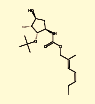 CC/C=C\C=C(/C)COC(=O)N[C@@H]1C[C@H](O)[C@@H](C)[C@H]1OC(C)(C)C